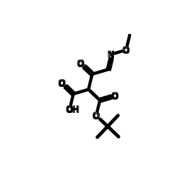 CON=CC(=O)C(C(=O)O)C(=O)OC(C)(C)C